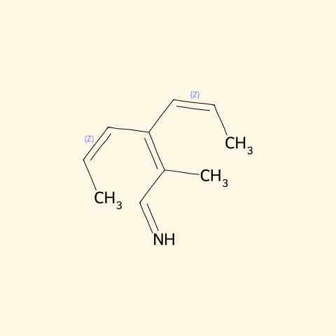 C/C=C\C(/C=C\C)=C(C)C=N